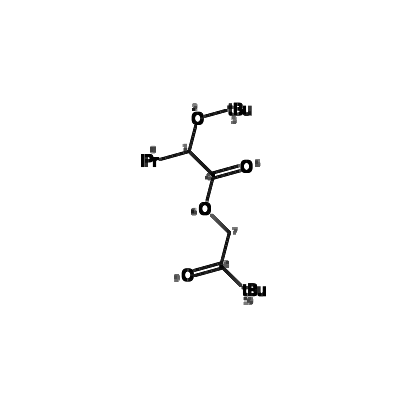 CC(C)C(OC(C)(C)C)C(=O)OCC(=O)C(C)(C)C